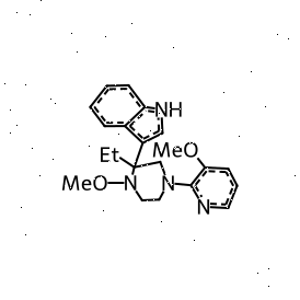 CCC1(c2c[nH]c3ccccc23)CN(c2ncccc2OC)CCN1OC